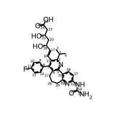 CC(C)c1nc2c(c(-c3ccc(F)cc3)c1/C=C/[C@@H](O)C[C@@H](O)CC(=O)O)CCCc1nc(NC(N)=O)ccc1-2